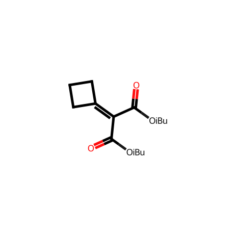 CC(C)COC(=O)C(C(=O)OCC(C)C)=C1CCC1